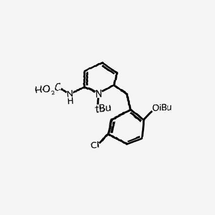 CC(C)COc1ccc(Cl)cc1CC1C=CC=C(NC(=O)O)N1C(C)(C)C